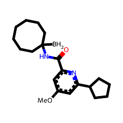 BC1(NC(=O)c2cc(OC)cc(C3CCCC3)n2)CCCCCCC1